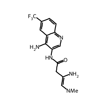 CN/C=C(\N)CC(=O)Nc1cnc2ccc(C(F)(F)F)cc2c1N